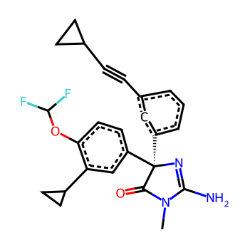 CN1C(=O)[C@@](c2cccc(C#CC3CC3)c2)(c2ccc(OC(F)F)c(C3CC3)c2)N=C1N